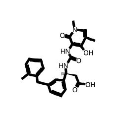 Cc1ccccc1Cc1cccc([C@H](CC(=O)O)NC(=O)Nc2c(O)c(C)cn(C)c2=O)c1